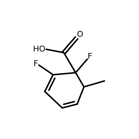 CC1C=CC=C(F)C1(F)C(=O)O